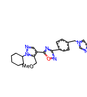 COCc1c(-c2nc(-c3ccc(Cn4ccnc4)cc3)no2)cnn1C1CCCCC1